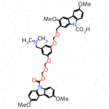 COc1ccc2c(c1)c1cc(OC)c(COCOc3cc(CN(C)C)cc(OCOCOC(=O)n4c5ccc(OC)cc5c5cc(OC)ccc54)c3)cc1n2C(=O)O